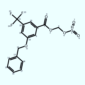 O=C(OCO[SH](=O)=O)c1cc(OCc2ccccc2)cc(C(F)(F)F)c1